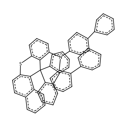 c1ccc(-c2ccc(N(c3ccccc3-c3ccccc3)c3cccc4c3C3(c5ccccc5-c5ccccc53)c3c(ccc5ccccc35)S4)cc2)cc1